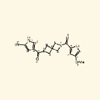 COc1csc(C(=O)N2CC3(CN(C(=O)c4cc(C(C)C)[nH]n4)C3)C2)c1